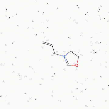 C=C[CH][N+]1=COCC1